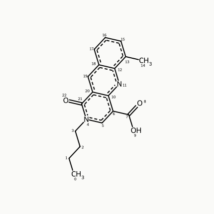 CCCCn1cc(C(=O)O)c2nc3c(C)cccc3cc2c1=O